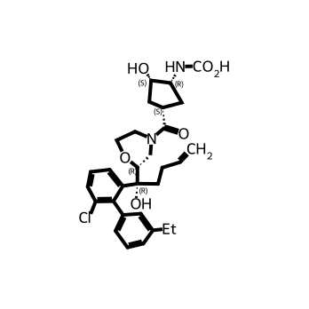 C=CCC[C@@](O)(c1cccc(Cl)c1-c1cccc(CC)c1)[C@H]1CN(C(=O)[C@@H]2C[C@H](O)[C@H](NC(=O)O)C2)CCO1